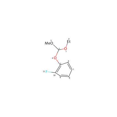 CCOC(OC)Oc1ccc[c]c1F